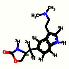 [2H]c1c(C([2H])([2H])[C@H]2COC(=O)N2[2H])c([2H])c2c(CCN(C)C)c([2H])n([2H])c2c1[2H]